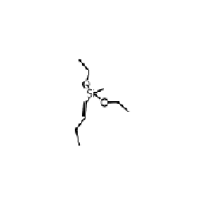 CCC=C[Si](C)(OCC)OCC